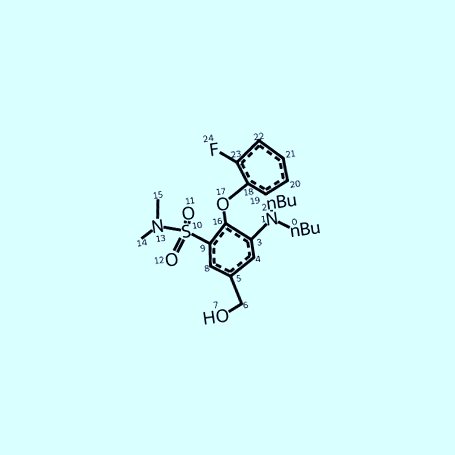 CCCCN(CCCC)c1cc(CO)cc(S(=O)(=O)N(C)C)c1Oc1ccccc1F